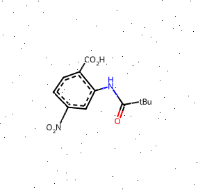 CC(C)(C)C(=O)Nc1cc([N+](=O)[O-])ccc1C(=O)O